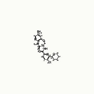 CCc1cnc(C(=O)N[C@H]2COc3cc(P)cnc3N(C)C2=O)nc1C1CCCCO1